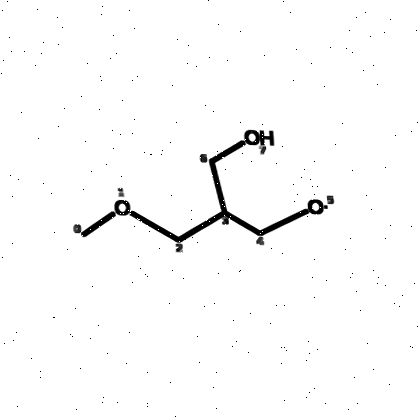 COCC(C[O])CO